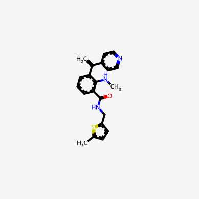 C=C(c1ccncc1)c1cccc(C(=O)NCc2ccc(C)s2)c1NC